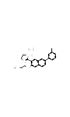 COCCOc1cc2ccc(-c3cccc(C)c3)cc2cc1C1=NCCN1.Cl